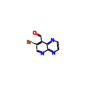 O=Cc1c(Br)cnc2nccnc12